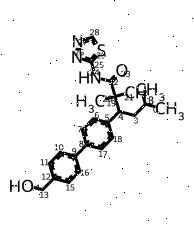 CC(C)CC(c1ccc(-c2ccc(CO)cc2)cc1)C(C)(C)C(=O)Nc1nncs1